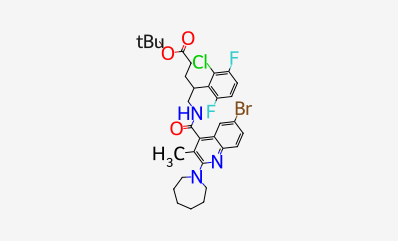 Cc1c(N2CCCCCC2)nc2ccc(Br)cc2c1C(=O)NCC(CCC(=O)OC(C)(C)C)c1c(F)ccc(F)c1Cl